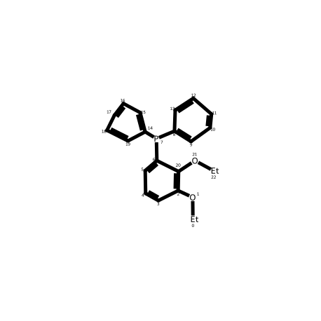 CCOc1cccc(P(c2ccccc2)c2ccccc2)c1OCC